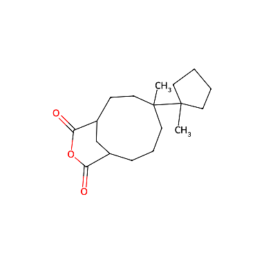 CC1(C2(C)CCCC3CC(CC2)C(=O)OC3=O)CCCC1